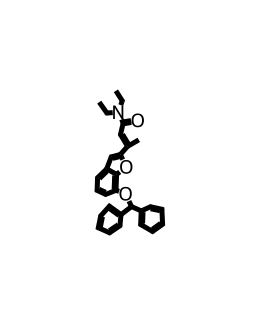 CCN(CC)C(=O)C=C(C)c1cc2cccc(OC(c3ccccc3)c3ccccc3)c2o1